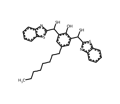 CCCCCCCCc1cc(C(S)c2nc3ccccc3s2)c(O)c(C(S)c2nc3ccccc3s2)c1